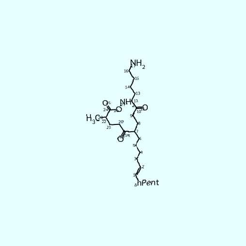 CCCCCC=CCCCCC(CCC(=O)CCCCCN)C(=O)CCC(C)C(=O)ON